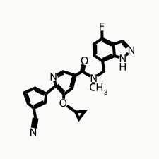 CN(Cc1ccc(F)c2cn[nH]c12)C(=O)c1cnc(-c2cccc(C#N)c2)c(OC2CC2)c1